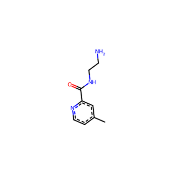 Cc1ccnc(C(=O)NCCN)c1